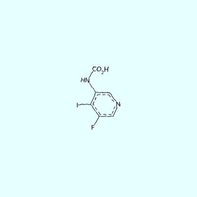 O=C(O)Nc1cncc(F)c1I